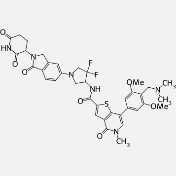 COc1cc(-c2cn(C)c(=O)c3cc(C(=O)NC4CN(c5ccc6c(c5)CN(C5CCC(=O)NC5=O)C6=O)CC4(F)F)sc23)cc(OC)c1CN(C)C